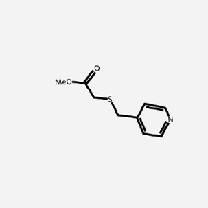 COC(=O)CSCc1ccncc1